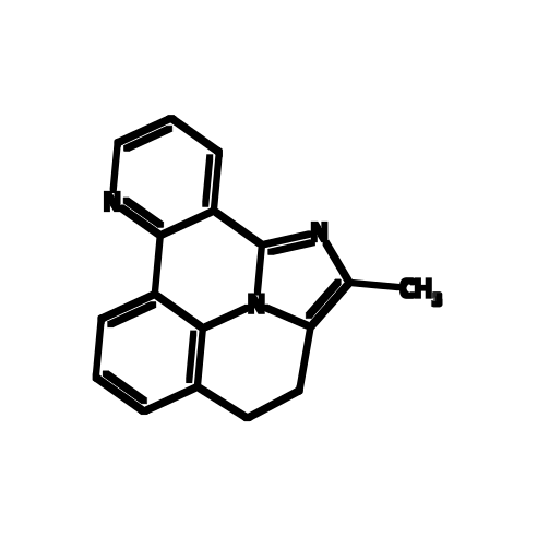 Cc1nc2c3cccnc3c3cccc4c3n2c1CC4